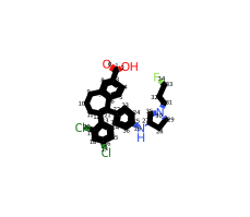 O=C(O)c1ccc2c(c1)CCCC(c1ccc(Cl)cc1Cl)=C2c1ccc(N[C@H]2CCN(CCCF)C2)cc1